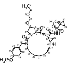 CCOCO[C@@H]1C[C@H]2C(=O)N[C@]3(C(=O)NS(=O)(=O)C4(C)CC4)C[C@H]3/C=C\CCCCCN(Cc3ccc(OC)cc3)C(=O)N2C1